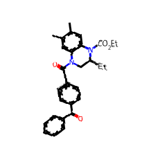 CCOC(=O)N1c2cc(C)c(C)cc2N(C(=O)c2ccc(C(=O)c3ccccc3)cc2)CC1CC